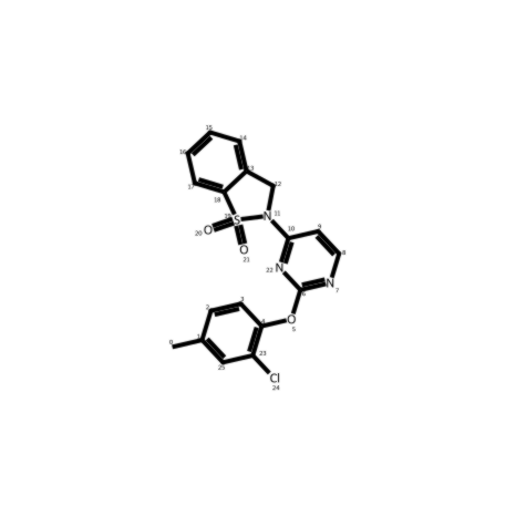 Cc1ccc(Oc2nccc(N3Cc4ccccc4S3(=O)=O)n2)c(Cl)c1